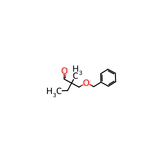 CCC(C)(C=O)COCc1ccccc1